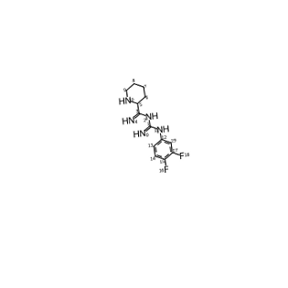 N=C(NC(=N)C1CCCCN1)Nc1ccc(F)c(F)c1